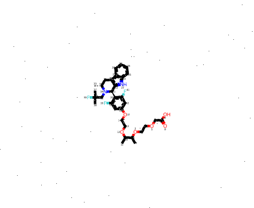 CC(OCCOCC(=O)O)C(C)OCCOc1cc(F)c([C@@H]2c3[nH]c4ccccc4c3C[C@@H](C)N2CC(C)(C)F)c(F)c1